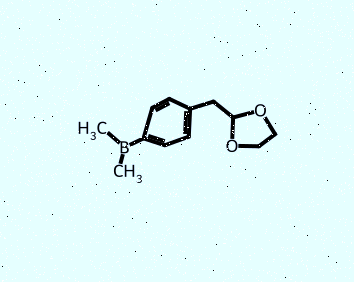 CB(C)c1ccc(CC2OCCO2)cc1